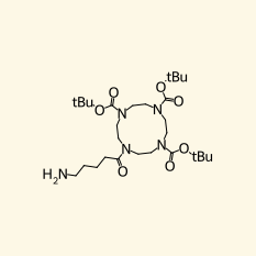 CC(C)(C)OC(=O)N1CCN(C(=O)CCCCN)CCN(C(=O)OC(C)(C)C)CCN(C(=O)OC(C)(C)C)CC1